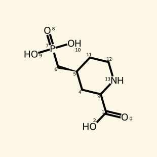 O=C(O)C1C[C@@H](CP(=O)(O)O)CCN1